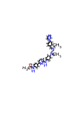 CCN(CCN(C)c1ccc(Nc2nccc(-c3ccc(NC(C)=O)cc3)n2)cc1)Cc1ccc(-n2ccnc2)cc1